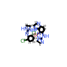 Brc1c(NC2=NCCN2)ccc2nccnc12.Clc1cccc(Cl)c1N=C1NCCN1